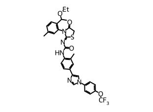 CCOC(C)c1ccc(C)cc1N1C(=O)CS/C1=N\C(=O)Nc1ccc(-c2cn(-c3ccc(OC(F)(F)F)cc3)cn2)cc1C